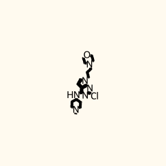 CN1CCC(Nc2nc(Cl)nc3c2ccn3CCCN2CCOCC2)CC1